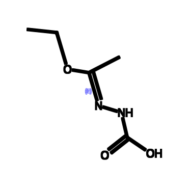 CCO/C(C)=N/NC(=O)O